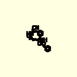 C[C@@H]1/C=C/C[C@H](NC(=O)OCc2ccccc2)c2cccc(c2)CC(CC#N)NC1=O